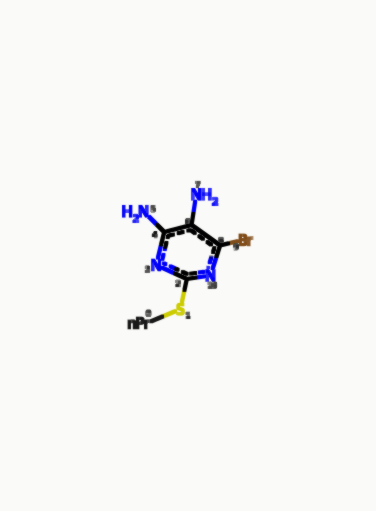 CCCSc1nc(N)c(N)c(Br)n1